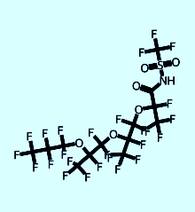 O=C(NS(=O)(=O)C(F)(F)F)C(F)(OC(F)(F)C(F)(OC(F)(F)C(F)(OC(F)(F)C(F)(F)C(F)(F)F)C(F)(F)F)C(F)(F)F)C(F)(F)F